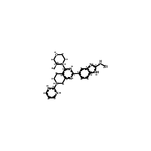 CCNc1nc2cc(-c3nc4c(c(N5CCOC[C@@H]5C)n3)CCN(c3ncccn3)C4)ccc2[nH]1